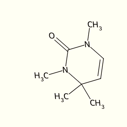 CN1C=CC(C)(C)N(C)C1=O